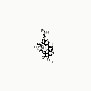 CC(C)NCCOc1ncc(-c2cc3c4c(cnc3cc2F)N(C)C(=O)C42CN(C(N)=O)C2)cc1NS(C)(=O)=O